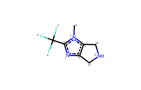 Cn1c(C(F)(F)F)nc2c1CNC2